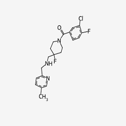 Cc1ccc(CNCC2(F)CCN(C(=O)c3ccc(F)c(Cl)c3)CC2)nc1